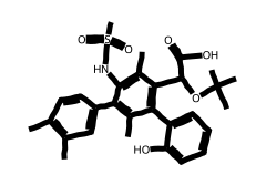 Cc1ccc(-c2c(C)c(-c3ccccc3O)c(C(OC(C)(C)C)C(=O)O)c(C)c2NS(C)(=O)=O)cc1C